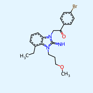 CCc1cccc2c1n(CCCOC)c(=N)n2CC(=O)c1ccc(Br)cc1